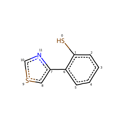 Sc1ccccc1-c1cscn1